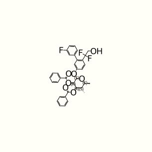 C[C@@H]1[C@@H](OC(=O)c2ccccc2)[C@@H](OC(=O)c2ccccc2)[C@H](Oc2ccc(C(F)(F)CO)c(-c3cccc(F)c3)c2)O[C@H]1C